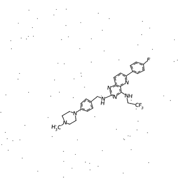 CN1CCN(c2ccc(CNc3nc(NCC(F)(F)F)c4nc(-c5ccc(F)cc5)ccc4n3)cc2)CC1